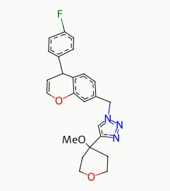 COC1(c2cn(Cc3ccc4c(c3)OC=CC4c3ccc(F)cc3)nn2)CCOCC1